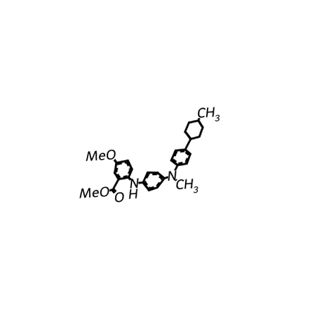 COC(=O)c1cc(OC)ccc1Nc1ccc(N(C)c2ccc(C3CCC(C)CC3)cc2)cc1